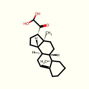 C[C@]12CC[C@H]3[C@@H](CC=C4CCCC[C@@]43C)[C@@H]1CC[C@@H]2C(=O)C(O)O